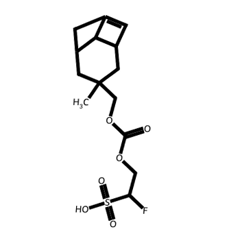 CC1(COC(=O)OCC(F)S(=O)(=O)O)CC2C=C3CC(C1)C32